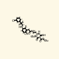 CC(C)(C)OC(=O)N(C(=N)NOCCNC(=O)Cc1c(C#N)ccc(NCC(F)(F)c2cccc(Cl)c2)c1F)C(=O)OC(C)(C)C